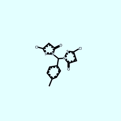 Cc1ccc(C(n2sc(Cl)cc2=O)n2sc(Cl)cc2=O)cc1